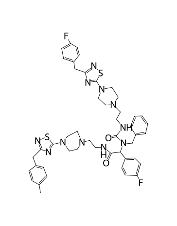 Cc1ccc(Cc2nsc(N3CCN(CCNC(=O)C(c4ccc(F)cc4)N(Cc4ccccc4)C(=O)NCCN4CCN(c5nc(Cc6ccc(F)cc6)ns5)CC4)CC3)n2)cc1